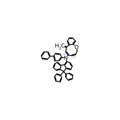 C=C1/C=C(N(c2ccc(-c3ccccc3)cc2)c2cccc3c2-c2ccccc2C3(c2ccccc2)c2ccccc2)\C=C/COc2ccccc21